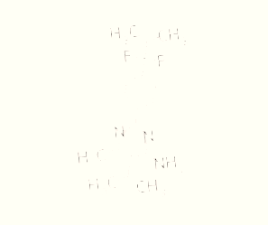 Cc1nc(-c2ccc(C(F)(F)C(C)C)cc2)nc(N)c1C(C)C